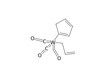 C=C[CH2][W](=[C]=O)(=[C]=O)(=[C]=O)[C]1=CC=CC1